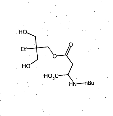 CCCCNC(CC(=O)OCC(CC)(CO)CO)C(=O)O